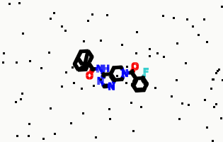 O=C(c1ccccc1F)N1CCc2c(ncnc2NC(=O)C23CC4CC(CC(C4)C2)C3)C1